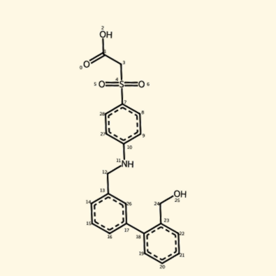 O=C(O)CS(=O)(=O)c1ccc(NCc2cccc(-c3ccccc3CO)c2)cc1